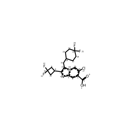 O=C(O)c1cc2nc(C3CC(F)(F)C3)c(CC3CCC(F)(F)CC3)n2cc1Cl